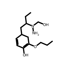 CCCOC1=C(O)C=CC(CC(CC)N(N)CO)C1